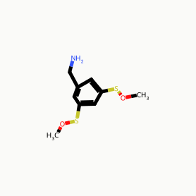 COSc1cc(CN)cc(SOC)c1